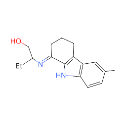 CCC(CO)/N=C1\CCCc2c1[nH]c1ccc(C)cc21